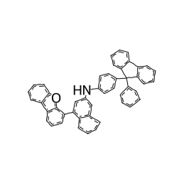 c1ccc(C2(c3ccc(Nc4cc(-c5cccc6c5oc5ccccc56)c5ccccc5c4)cc3)c3ccccc3-c3ccccc32)cc1